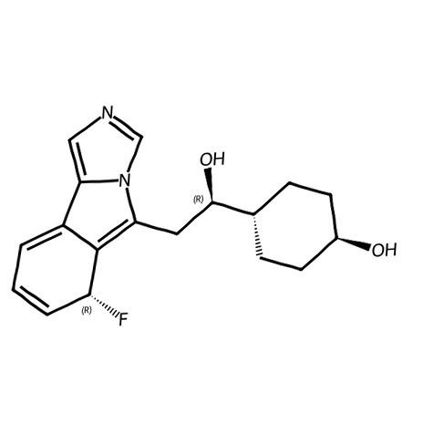 O[C@H](Cc1c2c(c3cncn13)=CC=C[C@H]2F)[C@H]1CC[C@H](O)CC1